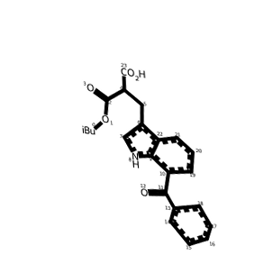 CCC(C)OC(=O)C(Cc1c[nH]c2c(C(=O)c3ccccc3)cccc12)C(=O)O